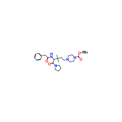 CC(C)(C)OC(=O)N1CCN(CCC(C)(C)C(NC(=O)Cc2ccccc2)C(=O)N2CCCC2)CC1